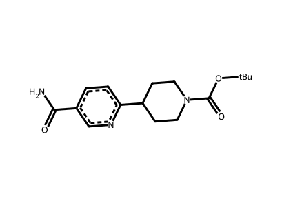 CC(C)(C)OC(=O)N1CCC(c2ccc(C(N)=O)cn2)CC1